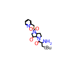 CC(C)(C)CC(N)C(=O)N1CCC2C1C(=O)CN2S(=O)(=O)Cc1ccccn1